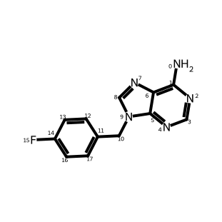 Nc1ncnc2c1ncn2Cc1ccc(F)cc1